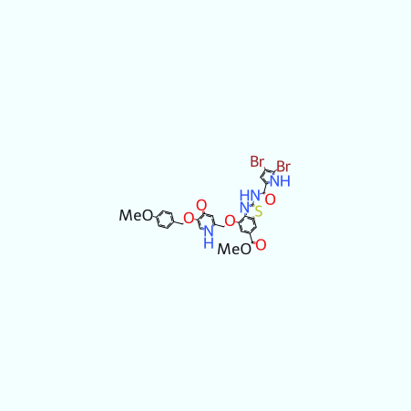 COC(=O)c1cc(OCc2cc(=O)c(OCc3ccc(OC)cc3)c[nH]2)c2nc(NC(=O)c3cc(Br)c(Br)[nH]3)sc2c1